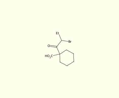 CCC(Br)C(=O)C1(C(=O)O)CCCCC1